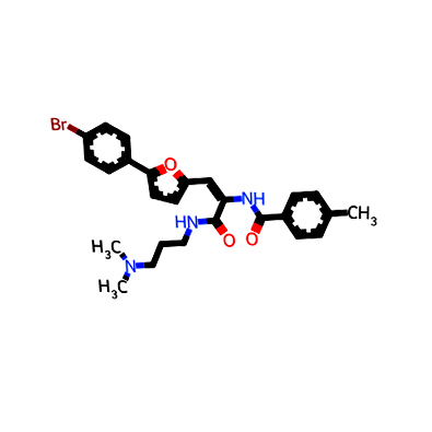 Cc1ccc(C(=O)NC(=Cc2ccc(-c3ccc(Br)cc3)o2)C(=O)NCCCN(C)C)cc1